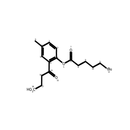 Cc1ccc(OC(=O)CCCCC(C)(C)C)c(C(=O)CCC(=O)O)c1